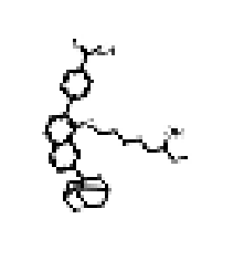 CCC(O)CCCCCOc1c(-c2ccc(C(=O)O)cc2)ccc2ccc(C34CC5CC(CC(C5)C3)C4)cc12